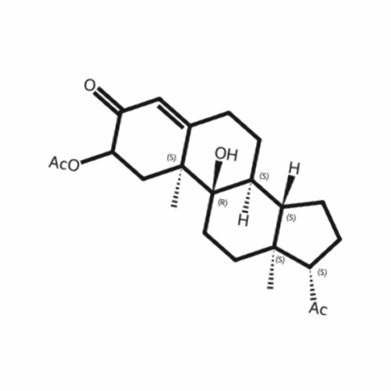 CC(=O)OC1C[C@@]2(C)C(=CC1=O)CC[C@H]1[C@@H]3CC[C@H](C(C)=O)[C@@]3(C)CC[C@@]12O